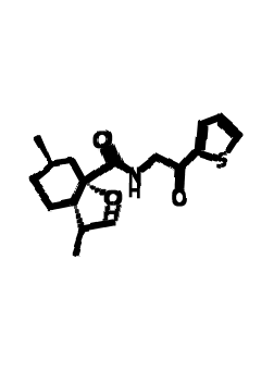 CC(C)[C@@H]1CC[C@@H](C)C[C@@]1(O)C(=O)NCC(=O)c1cccs1